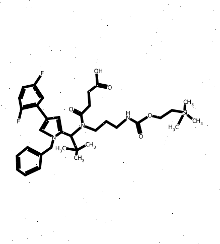 CC(C)(C)C(c1cc(-c2cc(F)ccc2F)cn1Cc1ccccc1)N(CCCNC(=O)OCC[Si](C)(C)C)C(=O)CCC(=O)O